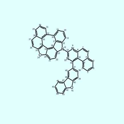 c1ccc2c(c1)ccc1nc(-n3c4cccc5c4c4c6c(ccc43)oc3ccc4cccc-5c4c36)nc(-c3ccc4oc5ccccc5c4c3)c12